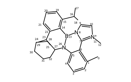 Cc1cccc2c1-c1n(cc[n+]1C)B(c1c(C(C)C)cccc1C(C)C)N2C1CCCCC1